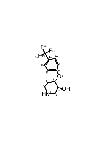 O[C@H]1CNCC[C@@H]1Oc1ccc(C(F)(F)F)cc1